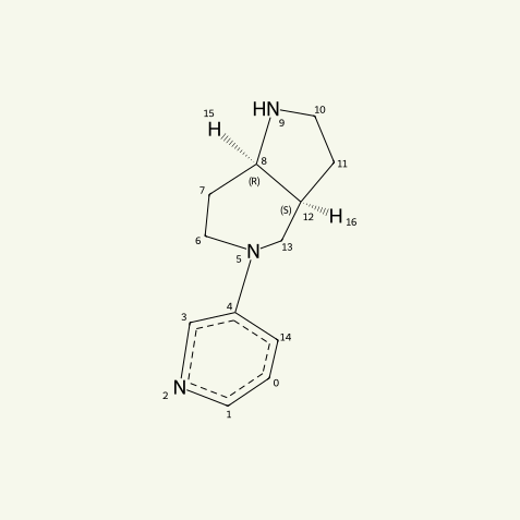 c1cncc(N2CC[C@H]3NCC[C@H]3C2)c1